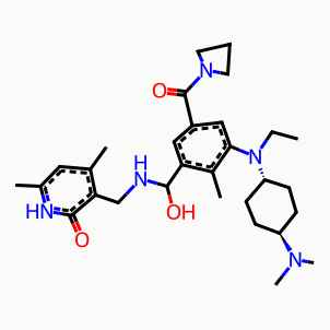 CCN(c1cc(C(=O)N2CCC2)cc(C(O)NCc2c(C)cc(C)[nH]c2=O)c1C)[C@H]1CC[C@H](N(C)C)CC1